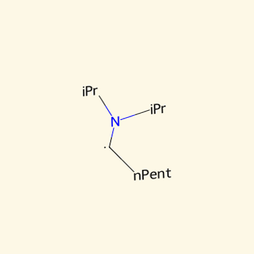 CCCCC[CH]N(C(C)C)C(C)C